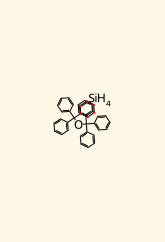 [SiH4].c1ccc(C(OC(c2ccccc2)(c2ccccc2)c2ccccc2)(c2ccccc2)c2ccccc2)cc1